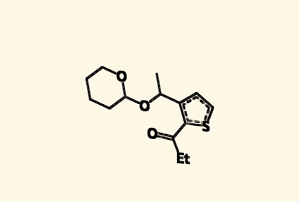 CCC(=O)c1sccc1C(C)OC1CCCCO1